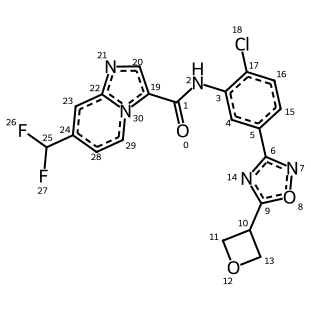 O=C(Nc1cc(-c2noc(C3COC3)n2)ccc1Cl)c1cnc2cc(C(F)F)ccn12